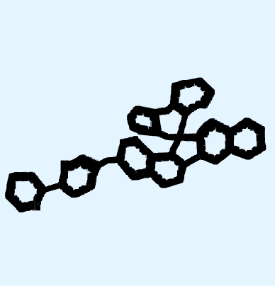 c1ccc(-c2ccc(-c3ccc4c5c(ccc4c3)-c3cc4ccccc4cc3C53c4ccccc4-c4ccccc43)cn2)nc1